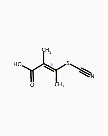 C/C(SC#N)=C(/C)C(=O)O